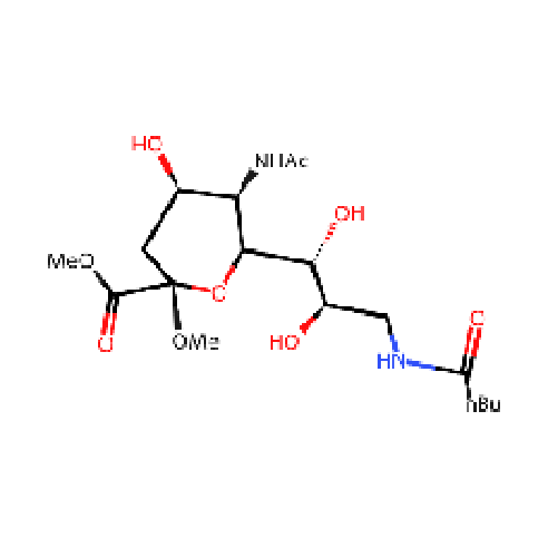 CCCCC(=O)NC[C@@H](O)[C@@H](O)C1O[C@](OC)(C(=O)OC)C[C@@H](O)[C@H]1NC(C)=O